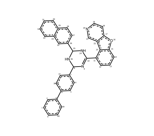 c1ccc(-c2ccc(C3N=C(c4cccc5oc6ccncc6c45)NC(c4ccc5ccccc5c4)N3)cc2)cc1